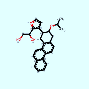 CC(C)OC1Cc2ccc3c(ccc4ccccc43)c2CC1c1ccoc1C(O)CO